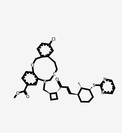 COC(=O)c1ccc2c(c1)N(C[C@@H]1CC[C@H]1C(=O)/C=C/[C@@H]1CCC[C@@H](Sc3ncccn3)[C@H]1C)CCCCc1cc(Cl)ccc1CO2